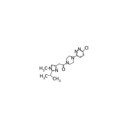 CC(C)c1nc(CC(=O)N2CCN(c3ccc(Cl)nn3)CC2)cn1C